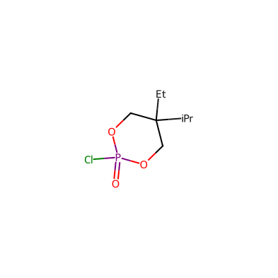 CCC1(C(C)C)COP(=O)(Cl)OC1